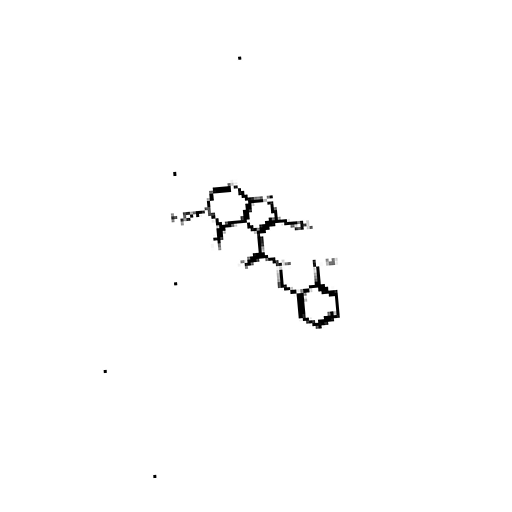 COc1ccccc1CNC(=O)c1c(C)oc2ncn(C)c(=O)c12